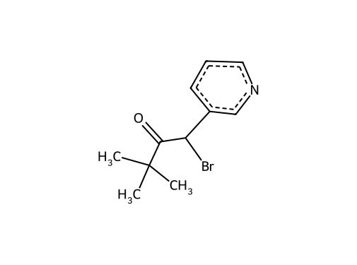 CC(C)(C)C(=O)C(Br)c1cccnc1